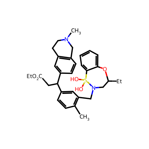 CCOC(=O)CC(c1ccc(C)c(CN2CC(CC)Oc3ccccc3S2(O)O)c1)c1ccc2c(c1)CCN(C)C2